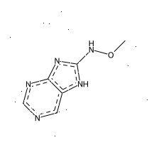 CONc1nc2ncncc2[nH]1